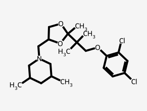 CC1CC(C)CN(CC2COC(C)(C(C)(C)COc3ccc(Cl)cc3Cl)O2)C1